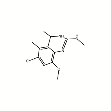 CNC1=Nc2c(OC)cc(Cl)c(C)c2C(C)N1